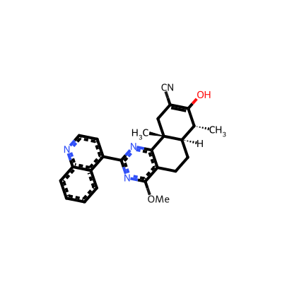 COc1nc(-c2ccnc3ccccc23)nc2c1CC[C@@H]1[C@@H](C)C(O)=C(C#N)C[C@@]21C